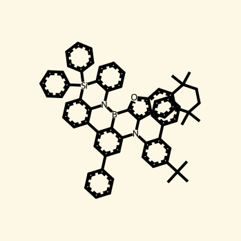 CC(C)(C)c1ccc(N2c3cc(-c4ccccc4)cc4c3B(c3oc5cc6c(cc5c32)C(C)(C)CCC6(C)C)N2c3ccccc3[Si](c3ccccc3)(c3ccccc3)c3cccc-4c32)c(-c2ccccc2)c1